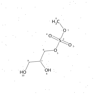 COS(=O)(=O)OCC(O)CO